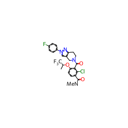 CNC(=O)c1ccc(OC(C)C(F)(F)F)c(C(=O)N2CCc3nn(-c4ccc(F)cc4)cc3C2)c1Cl